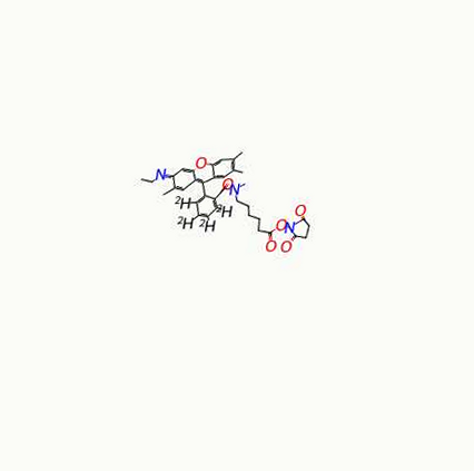 [2H]c1c([2H])c([2H])c(-c2c3cc(C)/c(=N\CC)cc-3oc3cc(C)c(C)cc23)c(C(=O)N(C)CCCCCC(=O)ON2C(=O)CCC2=O)c1[2H]